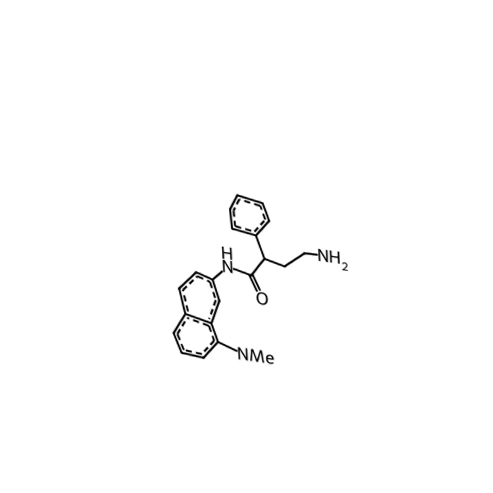 CNc1cccc2ccc(NC(=O)C(CCN)c3ccccc3)cc12